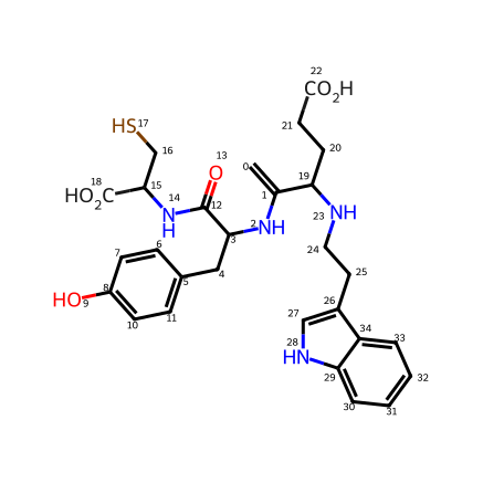 C=C(NC(Cc1ccc(O)cc1)C(=O)NC(CS)C(=O)O)C(CCC(=O)O)NCCc1c[nH]c2ccccc12